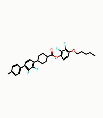 CCCCCOc1ccc(OC(=O)C2CCC(c3ccc(-c4ccc(C)cc4)c(F)c3F)CC2)c(F)c1F